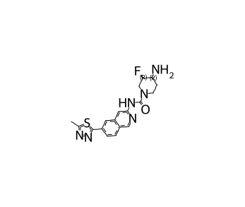 Cc1nnc(-c2ccc3cnc(NC(=O)N4CC[C@@H](N)[C@H](F)C4)cc3c2)s1